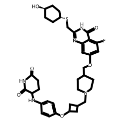 O=C1CCC(Nc2ccc(OC3CC(CN4CCC(COc5cc(F)c6c(=O)[nH]c(CS[C@H]7CC[C@H](O)CC7)nc6c5)CC4)C3)cc2)C(=O)N1